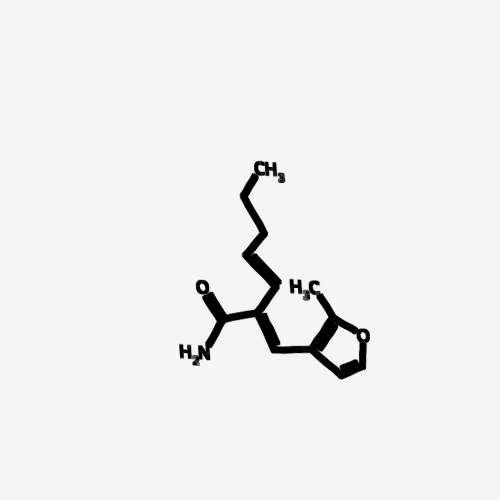 CCC/C=C/C(=C\c1ccoc1C)C(N)=O